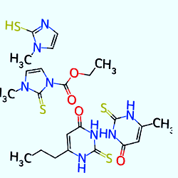 CCCc1cc(=O)[nH]c(=S)[nH]1.CCOC(=O)n1ccn(C)c1=S.Cc1cc(=O)[nH]c(=S)[nH]1.Cn1ccnc1S